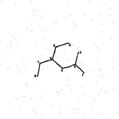 CCC(CC)CC(C)C